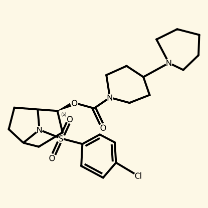 O=C(O[C@H]1CCC2CCC1N2S(=O)(=O)c1ccc(Cl)cc1)N1CCC(N2CCCCC2)CC1